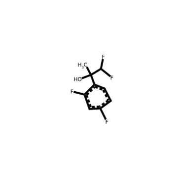 CC(O)(c1ccc(F)cc1F)C(F)F